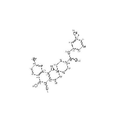 O=C1C(=O)c2ccc(Br)cc2C2=C1SCC1(CCN(C(=O)Oc3cccc(C(F)(F)F)c3)CC1)O2